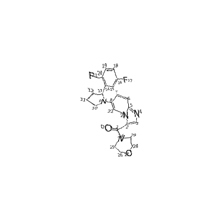 O=C(c1cnc2ccc(N3CCCC3c3cc(F)ccc3F)cn12)N1CCOCC1